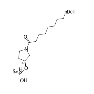 CCCCCCCCCCCCCCCCCC(=O)N1CC[C@H](O[PH](O)=S)C1